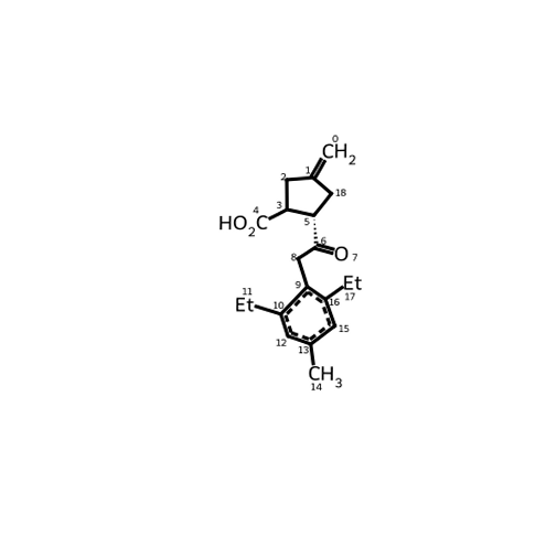 C=C1CC(C(=O)O)[C@@H](C(=O)Cc2c(CC)cc(C)cc2CC)C1